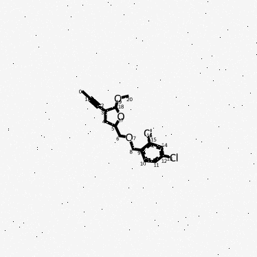 CC#CC1CC(COCc2ccc(Cl)cc2Cl)OC1OC